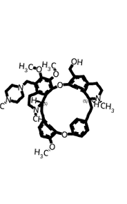 COc1ccc2cc1Oc1ccc(cc1)C[C@H]1c3cc(c(CO)cc3CCN1C)Oc1c(OC)c(OC)c(CN3CCN(C)CC3)c3c1[C@H](C2)N(C)CC3